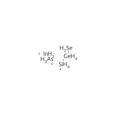 [AsH3].[GeH4].[InH3].[SeH2].[SiH4]